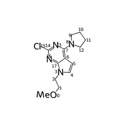 COCCn1ccc2c(N3CCCC3)nc(Cl)nc21